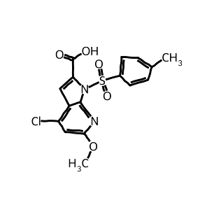 COc1cc(Cl)c2cc(C(=O)O)n(S(=O)(=O)c3ccc(C)cc3)c2n1